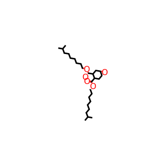 CC(C)CCCCCCCOC(=O)C1CC2OC2CC1C(=O)OCCCCCCCC(C)C